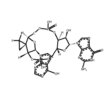 Nc1nc2c(ncn2[C@@H]2O[C@@H]3COP(O)(=S)O[C@H]4[C@H](n5cnc6c(O)ncnc65)O[C@H](COP(O)(=S)O[C@H]3[C@H]2O)[C@]42CC2(F)F)c(=O)[nH]1